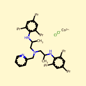 CC(CN(Cc1ccccn1)CC(C)Nc1c(C(C)C)cc(C(C)C)cc1C(C)C)Nc1c(C(C)C)cc(C(C)C)cc1C(C)C.[Cl-].[Cl-].[Co+2]